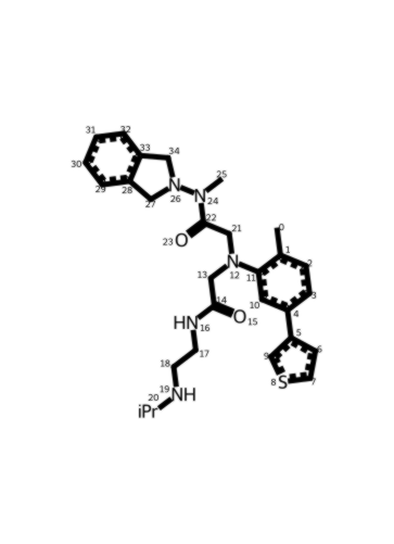 Cc1ccc(-c2ccsc2)cc1N(CC(=O)NCCNC(C)C)CC(=O)N(C)N1Cc2ccccc2C1